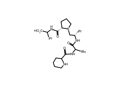 CC(C)C(NC(=O)[C@@H]1CCCN1C[C@@H](NC(=O)C(NC(=O)C1CCCCN1)C(C)(C)C)C(C)C)C(=O)O